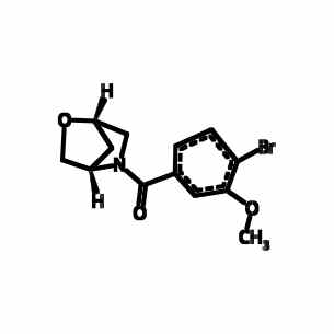 COc1cc(C(=O)N2C[C@@H]3C[C@H]2CO3)ccc1Br